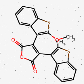 COc1sc2ccccc2c1C1=C(c2c(C)sc3ccccc23)C(=O)OC1=O